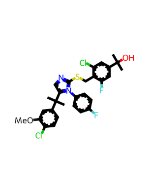 COc1cc(C(C)(C)c2cnc(SCc3c(F)cc(C(C)(C)O)cc3Cl)n2-c2ccc(F)cc2)ccc1Cl